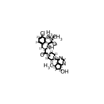 C[C@@H]1C[C@@H](O)c2ncnc(N3CCN(C(=O)[C@@H](Cc4ccc(Cl)cc4)NCC(=O)N(C)C)CC3)c21